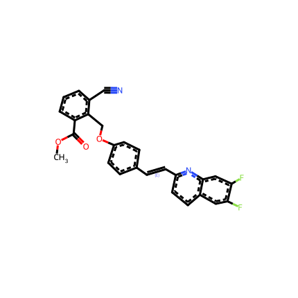 COC(=O)c1cccc(C#N)c1COc1ccc(/C=C/c2ccc3cc(F)c(F)cc3n2)cc1